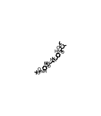 CCOC(=O)C(CC(C)C)C(=O)Nc1ccc(Cn2cc(CNS(=O)(=O)c3ccc(NC(=O)OC(C)(C)C)cc3)nn2)cc1